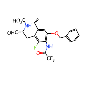 C=Cc1cc(OCc2ccccc2)c(NC(=O)C(F)(F)F)c(F)c1CC(C=O)NC(=O)O